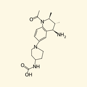 CC(=O)N1c2ccc(N3CCC(NC(=O)O)CC3)cc2[C@H](N)[C@@H](C)[C@@H]1C